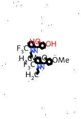 C=CCn1nc(-c2ccc(O)cc2O)c2cccc(C(F)(F)F)c21.C=CCn1nc(-c2ccc(OC)cc2OC)c2cccc(C(F)(F)F)c21